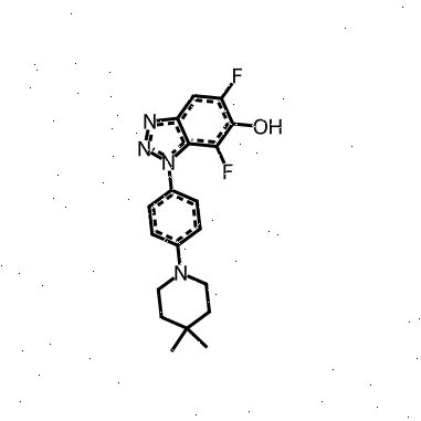 CC1(C)CCN(c2ccc(-n3nnc4cc(F)c(O)c(F)c43)cc2)CC1